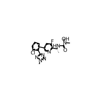 C[C@@H](NC(=O)N(C)O)c1ncc(-c2cccc(Cl)c2-c2nnn(C)n2)cc1F